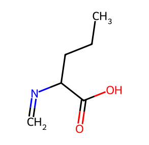 C=NC(CCC)C(=O)O